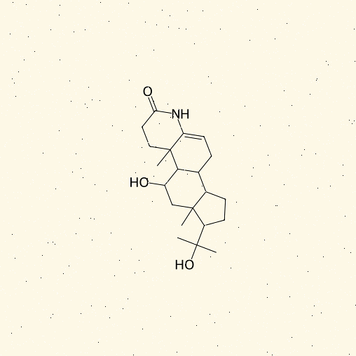 CC(C)(O)C1CCC2C3CC=C4NC(=O)CCC4(C)C3C(O)CC21C